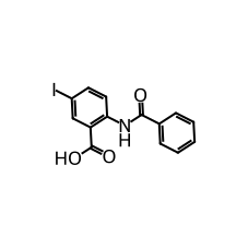 O=C(Nc1ccc(I)cc1C(=O)O)c1ccccc1